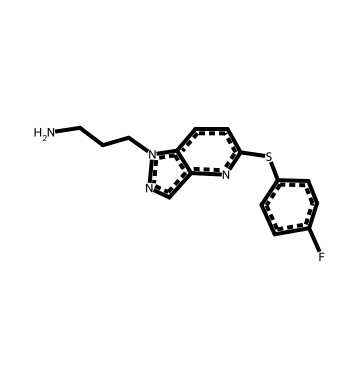 NCCCn1ncc2nc(Sc3ccc(F)cc3)ccc21